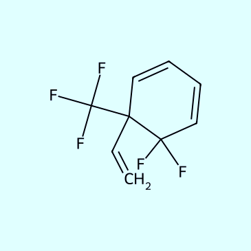 C=CC1(C(F)(F)F)C=CC=CC1(F)F